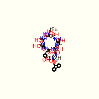 C[C@@H](O)C1NC(=O)[C@@H](NC(=O)OC(C)(C)C)C[C@@H](O)CNC(=O)[C@@H]2[C@@H](O)[C@@H](C)CN2C(=O)[C@H]([C@H](O)CC(=O)N2CCN(C(=O)OCC3c4ccccc4-c4ccccc43)CC2)NC(=O)[C@H]([C@H](O)Cc2ccc(O)c(OS(=O)(=O)O)c2)NC(=O)[C@@H]2C[C@@H](O)CN2C1=O